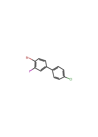 Clc1ccc(-c2ccc(Br)c(I)c2)cc1